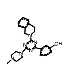 CN1CCN(c2nc(-c3cccc(O)c3)nc(N3CCc4ccccc4C3)n2)CC1